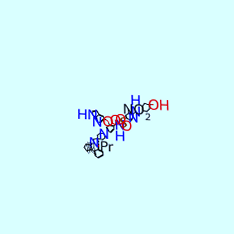 CC(C)c1ccccc1[C@H]1CCC[C@H]1N1CC2(CCN(c3ccc(C(=O)NS(=O)(=O)c4cnc(NC[C@H]5CC[C@](C)(O)CC5)c([N+](=O)[O-])c4)c(Oc4cnc5[nH]ccc5c4)c3)CC2)C1